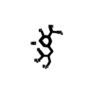 CCC(Cc1ccc(Cl)c(C(=N)N)c1)C(N)=O.Cl